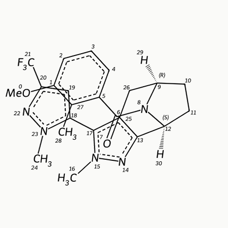 COc1cccc(C(=O)N2[C@@H]3CC[C@H]2c2nn(C)c(-c4cc(C(F)(F)F)nn4C)c2C3)c1C